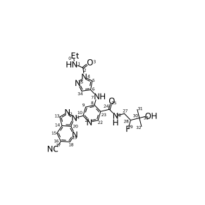 CCNC(=O)n1cc(Nc2cc(-n3ncc4cc(C#N)cnc43)ncc2C(=O)NCC(F)C(C)(C)O)cn1